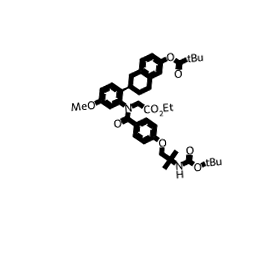 CCOC(=O)CN(C(=O)c1ccc(OCC(C)(C)NC(=O)OC(C)(C)C)cc1)c1cc(OC)ccc1[C@@H]1CCc2cc(OC(=O)C(C)(C)C)ccc2C1